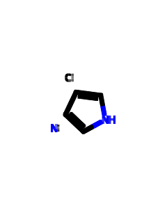 [C].[N].c1cc[nH]c1